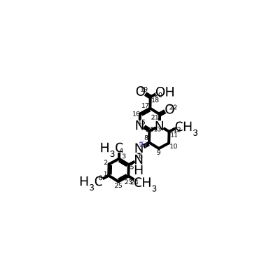 Cc1cc(C)c(N/N=C2\CCC(C)n3c2ncc(C(=O)O)c3=O)c(C)c1